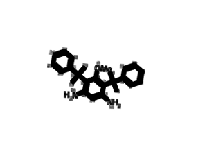 COc1c(C(C)(C)c2ccccc2)c(N)cc(N)c1C(C)(C)c1ccccc1